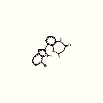 CC1CC(=O)Nc2cccc(-c3cc4cccc(Br)c4n3C)c2N1